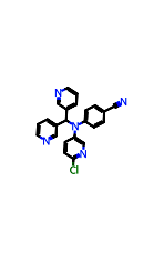 N#Cc1ccc(N(c2ccc(Cl)nc2)C(c2cccnc2)c2cccnc2)cc1